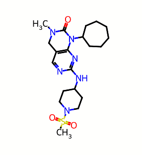 CN1Cc2cnc(NC3CCN(S(C)(=O)=O)CC3)nc2N(C2CCCCCC2)C1=O